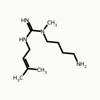 CC(C)=CCNC(=N)N(C)CCCCN